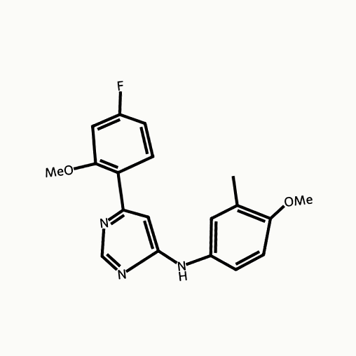 COc1ccc(Nc2cc(-c3ccc(F)cc3OC)ncn2)cc1C